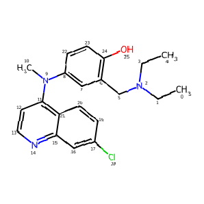 CCN(CC)Cc1cc(N(C)c2ccnc3cc(Cl)ccc23)ccc1O